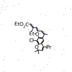 CCOC(=O)/C=C(C)/C=C/C=C(/C)c1cc2c(c(Cl)c1OCC)OC(C)(C)C=C2C(C)C